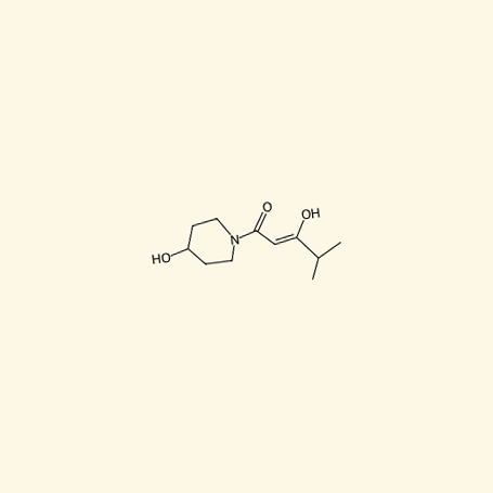 CC(C)/C(O)=C/C(=O)N1CCC(O)CC1